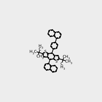 CC(C)(C)c1cc2c(-c3cccc4ccccc34)c3sc(C(C)(C)C)cc3c(-c3ccc(-c4cccc5ccccc45)cc3)c2s1